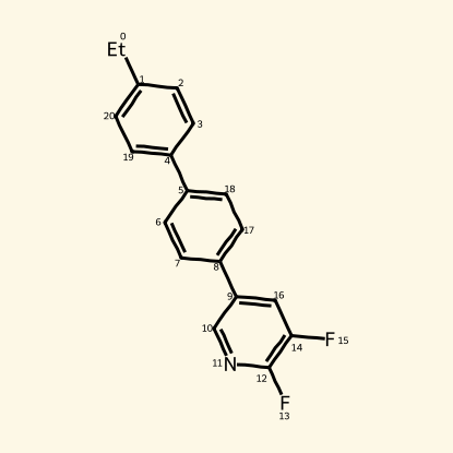 CCc1ccc(-c2ccc(-c3cnc(F)c(F)c3)cc2)cc1